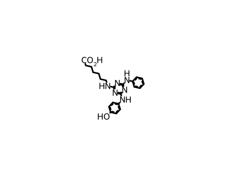 O=C(O)CCCCCCNc1nc(Nc2ccccc2)nc(Nc2ccc(O)cc2)n1